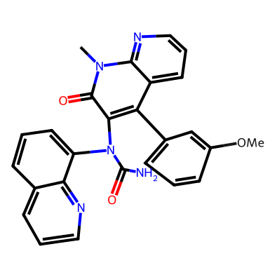 COc1cccc(-c2c(N(C(N)=O)c3cccc4cccnc34)c(=O)n(C)c3ncccc23)c1